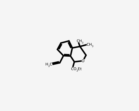 C=Cc1cccc2c1C(C(=O)OCC)OCC2(C)C